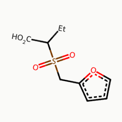 CCC(C(=O)O)S(=O)(=O)Cc1ccco1